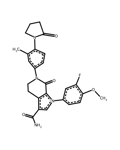 COc1ccc(-n2cc(C(N)=O)c3c2C(=O)N(c2ccc(N4CCCC4=O)c(C)c2)CC3)cc1F